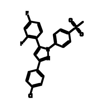 CS(=O)(=O)c1ccc(-n2nc(-c3ccc(Cl)cc3)cc2-c2ccc(F)cc2F)cc1